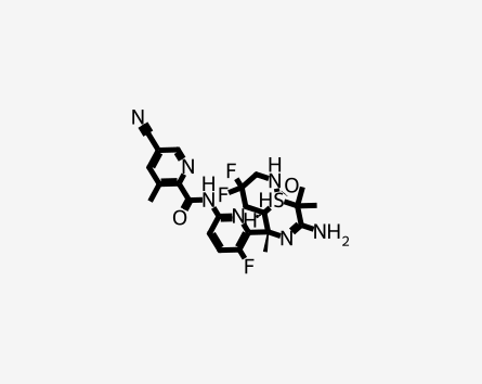 Cc1cc(C#N)cnc1C(=O)Nc1ccc(F)c([C@@]2(C)N=C(N)C(C)(C)[SH]3(=O)NCC(F)(F)C[C@H]23)n1